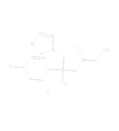 COC(=O)CC(O)(Cn1cncn1)c1ccc(F)cc1F